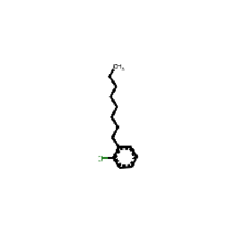 CCCCCCCCc1c[c]ccc1Cl